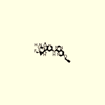 C#CCOc1cnc2c(Nc3cnc(OC)c([C@@]4(C)N=C(N)S[C@@]5(CF)C[C@H]54)c3)ncnc2c1